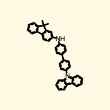 CC1(C)c2ccccc2-c2ccc(Nc3ccc(-c4ccc(-n5c6ccccc6c6ccccc65)cc4)cc3)cc21